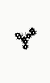 CC12C=CC=CC1=CC=C(c1cc(-c3ccc(-c4cccc5cccnc45)cc3)c3ccc(-c4ccccc4)cc3n1)C2